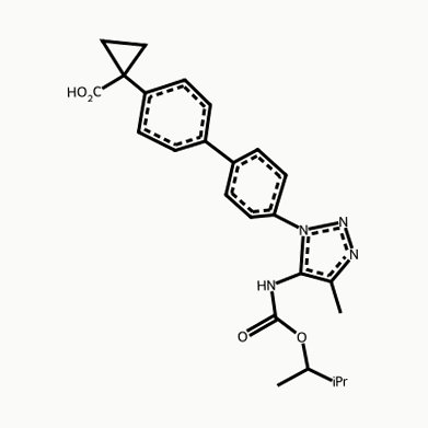 Cc1nnn(-c2ccc(-c3ccc(C4(C(=O)O)CC4)cc3)cc2)c1NC(=O)OC(C)C(C)C